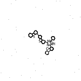 N/C(=N\C(NCc1ccccc1)c1cccc2c1OC1C=CC=CC21)c1ccc2sc3cc(-c4cccc5c4sc4ccccc45)ccc3c2c1